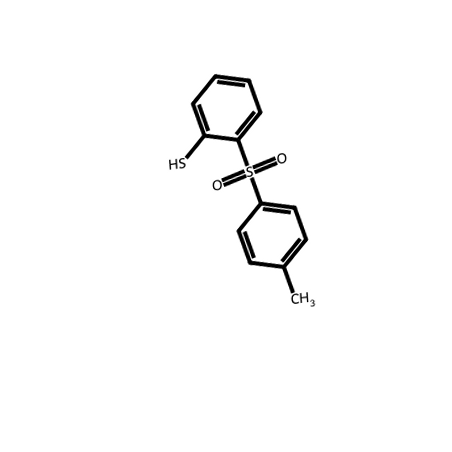 Cc1ccc(S(=O)(=O)c2ccccc2S)cc1